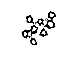 C1=CC2c3ccccc3OC2C(N(c2ccccc2)c2cccc(N(c3ccccc3)c3ccc4c(c3)c3ccccc3n4C3=CCCC=C3)c2)=C1